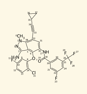 Cn1nc(N)c2c(Oc3cc(F)ccc3Cl)c(NC(=O)c3cc(F)cc(C(F)(F)F)c3)cc(C#CC3CC3)c21